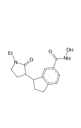 CCN1CCC(C2CCc3ccc(C(=O)NO)cc32)C1=O